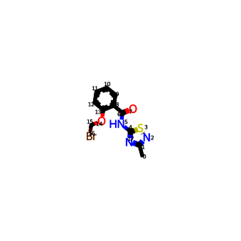 Cc1nsc(NC(=O)c2ccccc2OCBr)n1